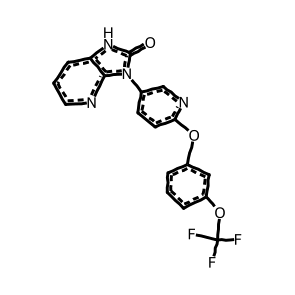 O=c1[nH]c2cccnc2n1-c1ccc(Oc2cccc(OC(F)(F)F)c2)nc1